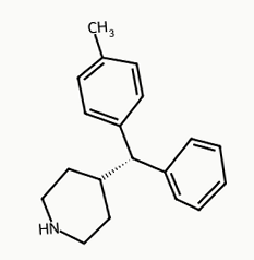 Cc1ccc([C@H](c2ccccc2)C2CCNCC2)cc1